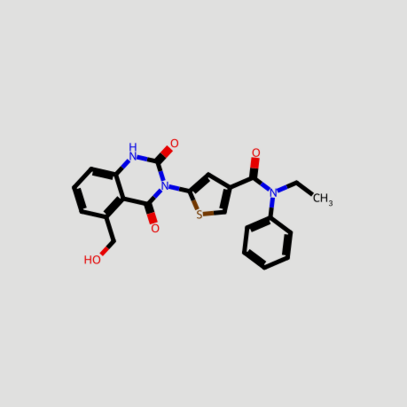 CCN(C(=O)c1csc(-n2c(=O)[nH]c3cccc(CO)c3c2=O)c1)c1ccccc1